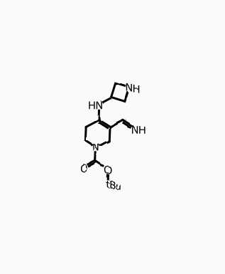 CC(C)(C)OC(=O)N1CCC(NC2CNC2)=C(C=N)C1